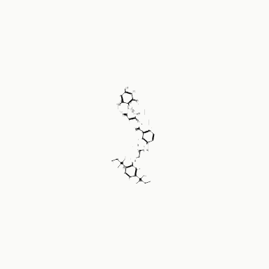 CCC(C)(C)c1ccc(C(C)(C)CC)c(OCC(=O)Nc2cccc(C(=O)Nc3cc(=O)n(-c4c(Cl)cc(Cl)cc4Cl)[nH]3)c2)c1